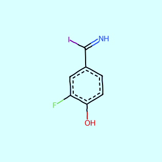 N=C(I)c1ccc(O)c(F)c1